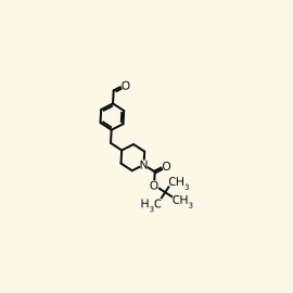 CC(C)(C)OC(=O)N1CCC(Cc2ccc(C=O)cc2)CC1